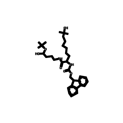 CC(C)(O)CCCCCCC(NC(=O)OCC1c2ccccc2-c2ccccc21)C(=O)NCCCC(O)OC(C)(C)C